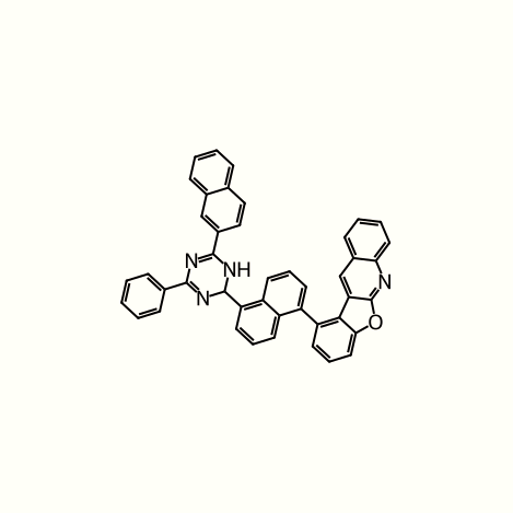 c1ccc(C2=NC(c3cccc4c(-c5cccc6oc7nc8ccccc8cc7c56)cccc34)NC(c3ccc4ccccc4c3)=N2)cc1